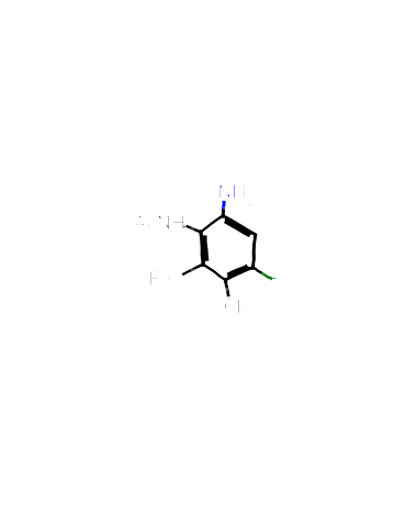 CC(=O)Nc1c(N)cc(F)c(C(F)(F)F)c1C(F)(F)F